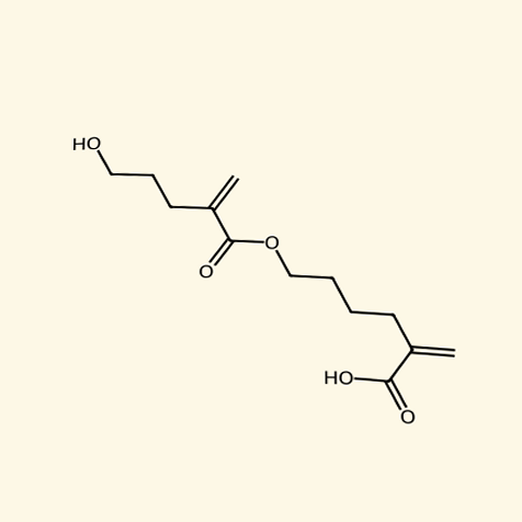 C=C(CCCCOC(=O)C(=C)CCCO)C(=O)O